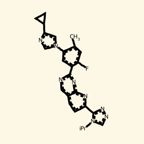 Cc1cc(F)c(-c2ncc3ccc(-c4nncn4C(C)C)nc3n2)cc1-n1cnc(C2CC2)c1